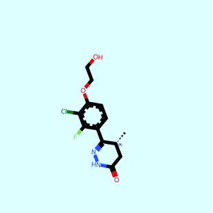 C[C@@H]1CC(=O)NN=C1c1ccc(OCCO)c(Cl)c1F